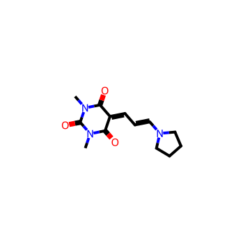 CN1C(=O)C(=C/C=C/N2CCCC2)C(=O)N(C)C1=O